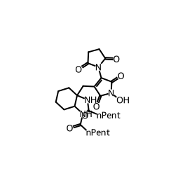 CCCCCC(=O)NC1CCCCC1(CC1=C(N2C(=O)CCC2=O)C(=O)N(O)C1=O)NC(=O)CCCCC